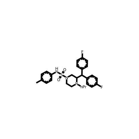 CCCN1CCN(S(=O)(=O)Nc2ccc(C)cc2)CC1C(c1ccc(F)cc1)c1ccc(F)cc1